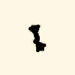 C#CC(O)CCCCCN(CCCCCC(O)C#C)c1ccc(-c2nnc(-c3cccc(N(CCCCCC(O)C#C)CCCCCC(O)C#C)c3)s2)cc1